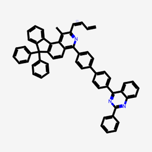 C=C/C=C\c1nc(-c2ccc(-c3ccc(-c4nc(-c5ccccc5)nc5ccccc45)cc3)cc2)c2ccc3c(c2c1C)-c1ccccc1C3(c1ccccc1)c1ccccc1